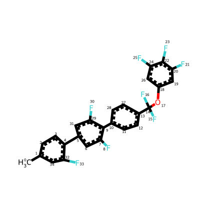 Cc1ccc(-c2cc(F)c(-c3ccc(C(F)(F)Oc4cc(F)c(F)c(F)c4)cc3)c(F)c2)c(F)c1